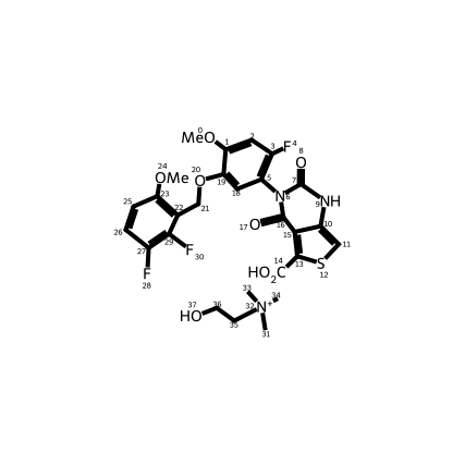 COc1cc(F)c(-n2c(=O)[nH]c3csc(C(=O)O)c3c2=O)cc1OCc1c(OC)ccc(F)c1F.C[N+](C)(C)CCO